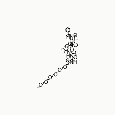 CCOCCOCCOCCOCCOCCOCCC(=O)NC(C)(C)C(=O)N[C@H](C(=O)N(C)[C@@H]([C@@H](C)CC)[C@@H](CC(=O)N1CCC[C@H]1[C@H](OC)[C@@H](C)C(=O)NCC1(c2ccccc2)CC1)OC)C(C)C